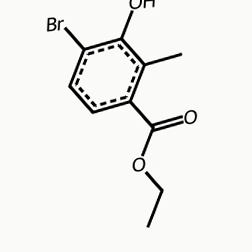 CCOC(=O)c1ccc(Br)c(O)c1C